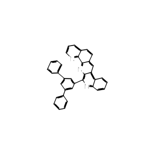 c1ccc(-c2cc(-c3ccccc3)cc(-c3nc4ccccc4c4cc5ccc6cccnc6c5nc34)c2)cc1